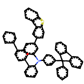 c1ccc(-c2ccc(-c3ccccc3N(c3ccc(C4(c5ccccc5)c5ccccc5-c5ccccc54)cc3)c3cccc(-c4ccc5sc6ccccc6c5c4)c3)cc2)cc1